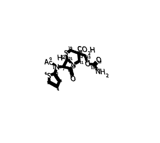 CC(=O)N(c1cccs1)C1C(=O)N2CC(COC(N)=O)(C(=O)O)CS[C@H]12